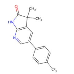 CC1(C)C(=O)Nc2ncc(-c3ccc(C(F)(F)F)cc3)cc21